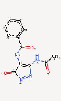 CC(=O)NC1=C(NC(=O)c2ccccc2)C(=O)N=N1